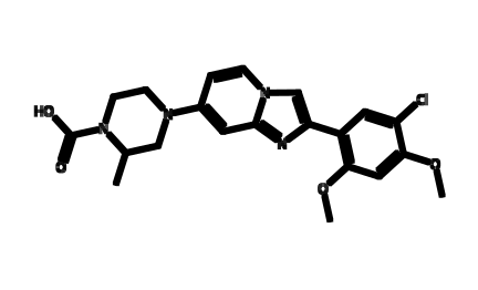 COc1cc(OC)c(-c2cn3ccc(N4CCN(C(=O)O)C(C)C4)cc3n2)cc1Cl